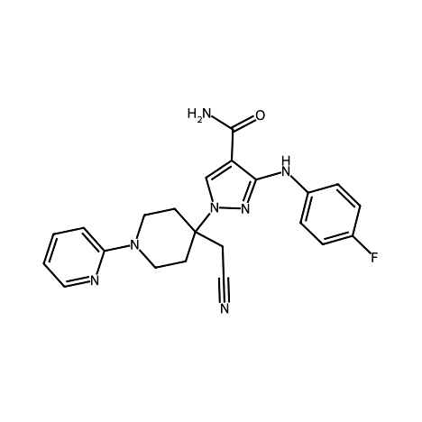 N#CCC1(n2cc(C(N)=O)c(Nc3ccc(F)cc3)n2)CCN(c2ccccn2)CC1